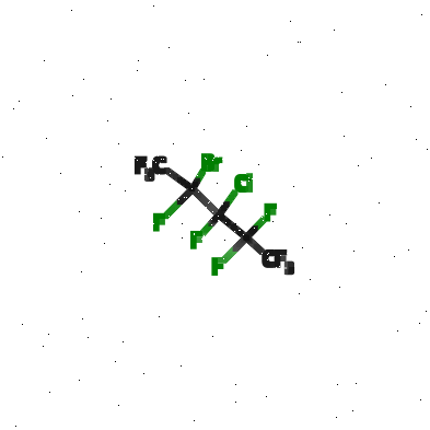 FC(F)(F)C(F)(F)C(F)(Cl)C(F)(Br)C(F)(F)F